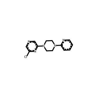 Clc1cncc(N2CCN(c3ccccn3)CC2)n1